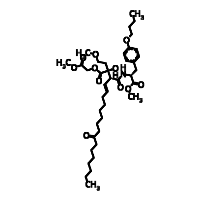 CCCCCCCC(=O)CCCCCC/C=C/[C@H](C(=O)N[C@@H](Cc1ccc(OCCCC)cc1)C(=O)OC)[C@@](O)(CCOC)C(=O)OCC(=O)OC